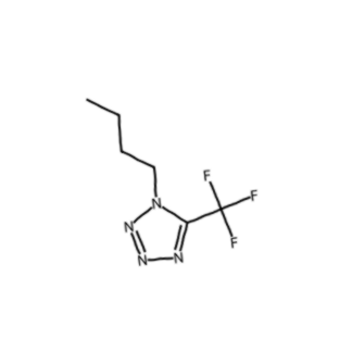 CCCCn1nnnc1C(F)(F)F